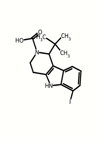 CC(C)(C)C1c2c([nH]c3c(I)cccc23)CCN1C(=O)O